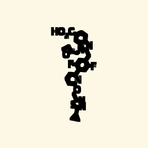 O=C(O)c1ccc2nc(Cc3cc(F)c(-c4cccc(OCc5nnc(C6CC6)s5)n4)cc3F)n(C[C@@H]3CCO3)c2c1